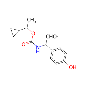 CC(OC(=O)NC([C]=O)c1ccc(O)cc1)C1CC1